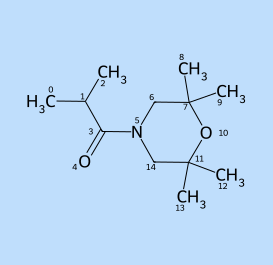 CC(C)C(=O)N1CC(C)(C)OC(C)(C)C1